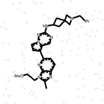 COCCn1c(C)nc2ccc(-c3ccn4nc(NC5CC6(C5)CN(CC(C)C)C6)ncc34)nc21